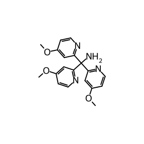 COc1ccnc(C(N)(c2cc(OC)ccn2)c2cc(OC)ccn2)c1